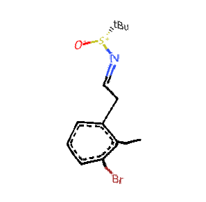 Cc1c(Br)cccc1C/C=N/[S@+]([O-])C(C)(C)C